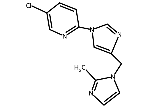 Cc1nccn1Cc1cn(-c2ccc(Cl)cn2)cn1